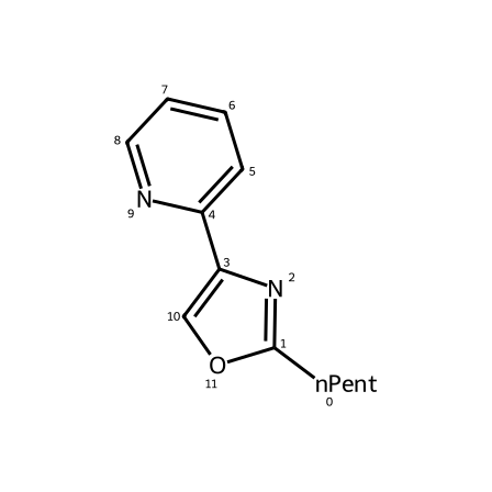 CCCCCc1nc(-c2ccccn2)co1